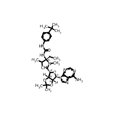 CC[C@](NC(=O)Nc1ccc(C(C)(C)C)cc1)(C(C)C)N(C)C[C@H]1O[C@@H](n2cnc3c(N)ncnc32)[C@@H]2OC(C)(C)O[C@@H]21